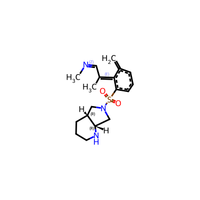 C=c1cccc(S(=O)(=O)N2C[C@H]3CCCN[C@H]3C2)/c1=C(C)/C=N\C